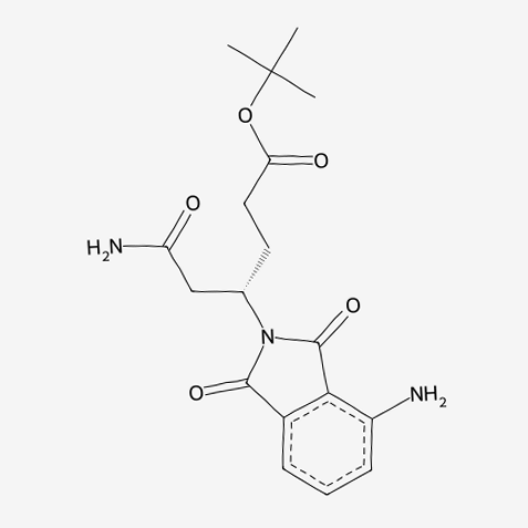 CC(C)(C)OC(=O)CC[C@@H](CC(N)=O)N1C(=O)c2cccc(N)c2C1=O